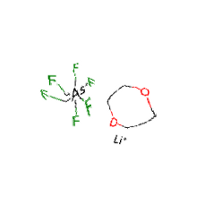 C1COCCO1.F[As-](F)(F)(F)(F)F.[Li+]